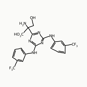 NC(CO)(C(=O)O)c1nc(Nc2cccc(C(F)(F)F)c2)nc(Nc2cccc(C(F)(F)F)c2)n1